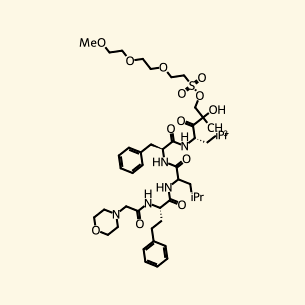 COCCOCCOCCS(=O)(=O)OCC(C)(O)C(=O)[C@H](CC(C)C)NC(=O)[C@H](Cc1ccccc1)NC(=O)C(CC(C)C)NC(=O)[C@H](CCc1ccccc1)NC(=O)CN1CCOCC1